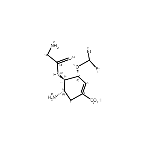 CCC(CC)O[C@@H]1C=C(C(=O)O)C[C@H](N)[C@H]1NC(=O)CN